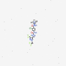 Cn1c(-c2cn(C3CC3(F)F)nc2C(F)(F)F)cnc1C(=O)Nc1ccc(C(=O)N[C@H]2C[C@H]3CC[C@@H](C2)N3)c(Cl)c1